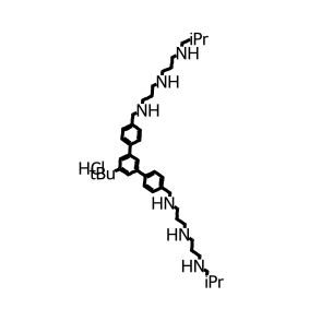 CC(C)CNCCCNCCCNCc1ccc(-c2cc(-c3ccc(CNCCCNCCCNCC(C)C)cc3)cc(C(C)(C)C)c2)cc1.Cl